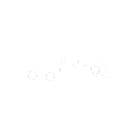 O=C1CCNc2cc(/C=C/C(=O)N3C[C@H]4CC(c5ccc(Oc6ccncc6)cc5)=C[C@H]4C3)cnc2N1